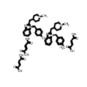 Cc1ccc(Cn2c(CC3CCN(C)CC3)nc3ccccc32)cc1.Cc1ccc(Cn2c(CC3CCN(C)CC3)nc3ccccc32)cc1.O=C(O)C=CC(=O)O.O=C(O)C=CC(=O)O.O=C(O)C=CC(=O)O